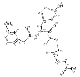 Nc1cccc(CC(=O)N[C@@H](Cc2ccc(O)cc2)C(=O)N2CCC(OCC(=O)O)CC2)n1